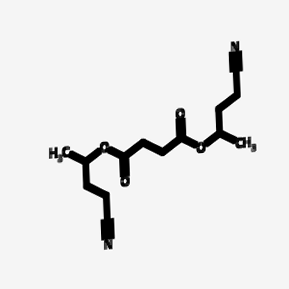 CC(CCC#N)OC(=O)CCC(=O)OC(C)CCC#N